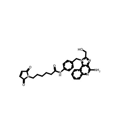 Nc1nc2ccccc2c2c1nc(CO)n2Cc1ccc(NC(=O)CCCCCN2C(=O)C=CC2=O)cc1